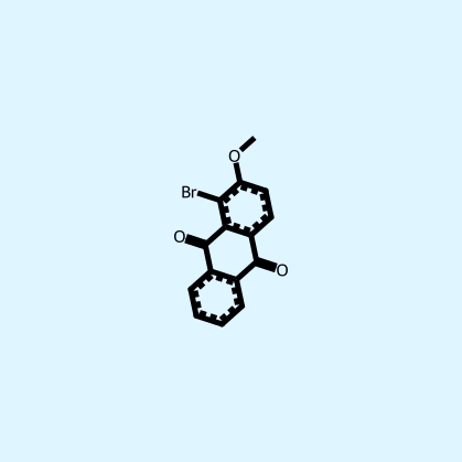 COc1ccc2c(c1Br)C(=O)c1ccccc1C2=O